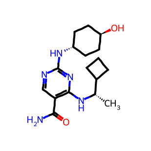 C[C@H](Nc1nc(N[C@H]2CC[C@H](O)CC2)ncc1C(N)=O)C1CCC1